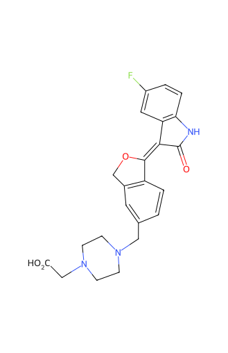 O=C(O)CN1CCN(Cc2ccc3c(c2)COC3=C2C(=O)Nc3ccc(F)cc32)CC1